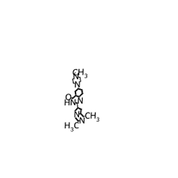 Cc1cn2cc(-c3nc4ccc(N5CCN(C)CC5)cc4c(=O)[nH]3)cc2c(C)n1